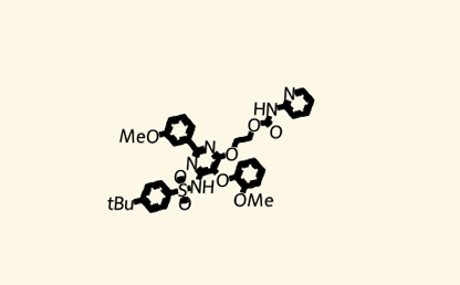 COc1cccc(-c2nc(NS(=O)(=O)c3ccc(C(C)(C)C)cc3)c(Oc3ccccc3OC)c(OCCOC(=O)Nc3ccccn3)n2)c1